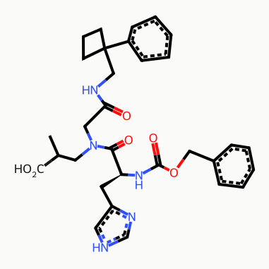 CC(CN(CC(=O)NCC1(c2ccccc2)CCC1)C(=O)[C@H](Cc1c[nH]cn1)NC(=O)OCc1ccccc1)C(=O)O